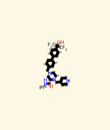 CC(C)NC(=O)[C@@H]1CN(Cc2ccc(-c3ccc(C(O)(C(F)(F)F)C(F)(F)F)cc3)cc2)CCN1Cc1ccncc1